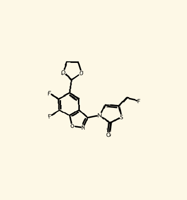 O=c1sc(CF)cn1-c1noc2c(F)c(F)c(C3OCCO3)cc12